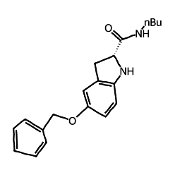 CCCCNC(=O)[C@H]1Cc2cc(OCc3ccccc3)ccc2N1